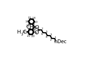 CCCCCCCCCCCCCCCCCC(=O)OC(c1ccccc1)c1cccc(C)c1C